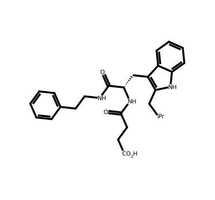 CC(C)Cc1[nH]c2ccccc2c1C[C@H](NC(=O)CCC(=O)O)C(=O)NCCc1ccccc1